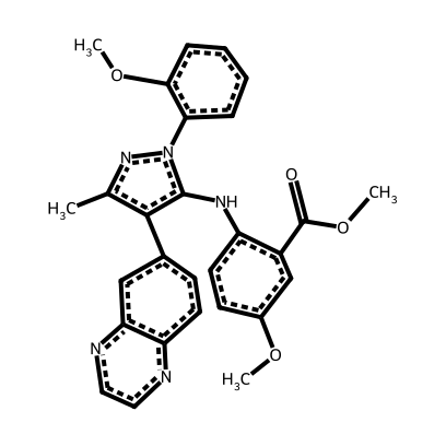 COC(=O)c1cc(OC)ccc1Nc1c(-c2ccc3nccnc3c2)c(C)nn1-c1ccccc1OC